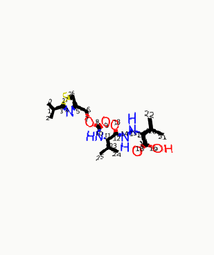 CC(C)c1nc(COC(=O)N[C@H](C(=O)NN[C@H](C(=O)O)C(C)C)C(C)C)cs1